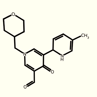 CC1=CNC(c2cn(CC3CCOCC3)cc(C=O)c2=O)C=C1